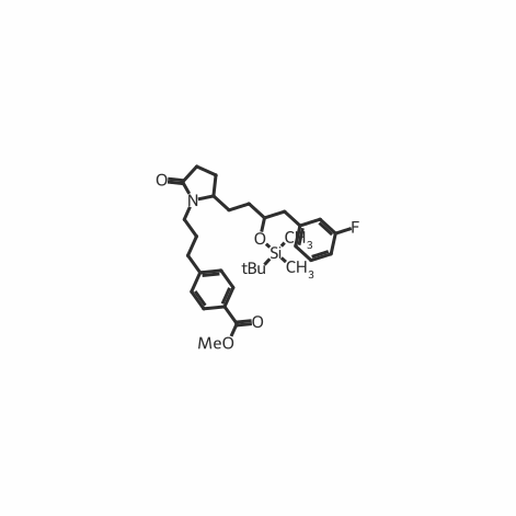 COC(=O)c1ccc(CCCN2C(=O)CCC2CCC(Cc2cccc(F)c2)O[Si](C)(C)C(C)(C)C)cc1